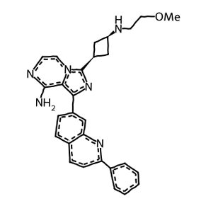 COCCN[C@H]1C[C@@H](c2nc(-c3ccc4ccc(-c5ccccc5)nc4c3)c3c(N)nccn32)C1